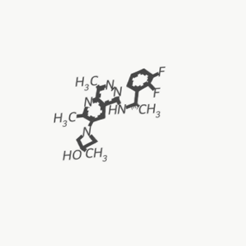 Cc1nc2c(C)nnc(N[C@H](C)c3cccc(F)c3F)c2cc1N1CC(C)(O)C1